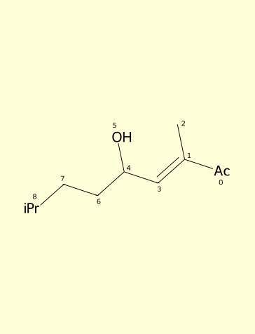 CC(=O)C(C)=CC(O)CCC(C)C